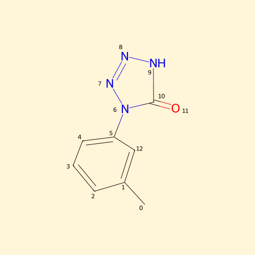 Cc1cccc(-n2nn[nH]c2=O)c1